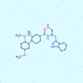 COc1ccc(OC)c(-c2ccc(C(=O)N[C@@H](CO)Cc3c[nH]c4ccccc34)cc2C)c1